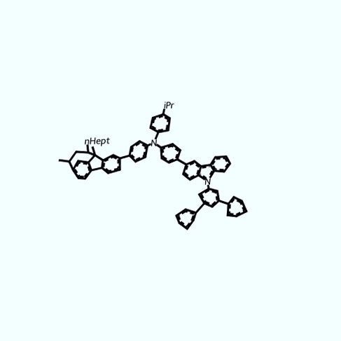 CCCCCCCC1CC(C)c2ccc3c(c2)C1(C)c1cc(-c2ccc(N(c4ccc(-c5ccc6c(c5)c5ccccc5n6-c5cc(-c6ccccc6)cc(-c6ccccc6)c5)cc4)c4ccc(C(C)C)cc4)cc2)ccc1-3